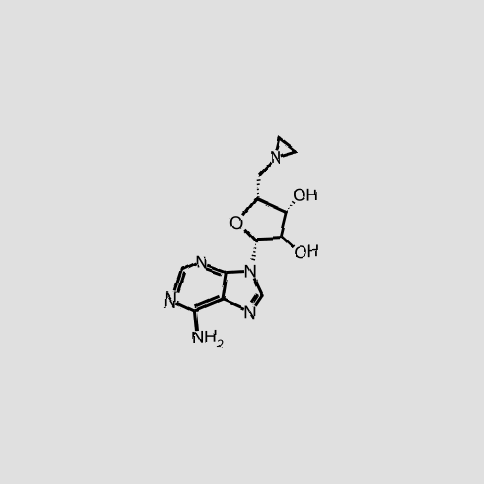 Nc1ncnc2c1ncn2[C@@H]1O[C@H](CN2CC2)[C@H](O)C1O